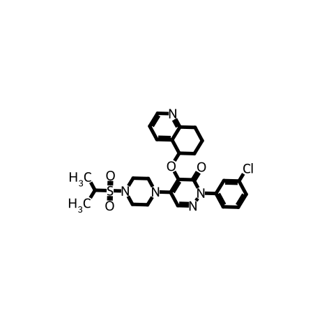 CC(C)S(=O)(=O)N1CCN(c2cnn(-c3cccc(Cl)c3)c(=O)c2OC2CCCc3ncccc32)CC1